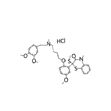 COc1ccc(OCCCCN(C)CCc2ccc(OC)c(OC)c2)c(C2(SC)Sc3ccccc3N(C)C2=O)c1.Cl